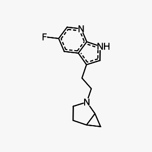 Fc1cnc2[nH]cc(CCN3CCC4CC43)c2c1